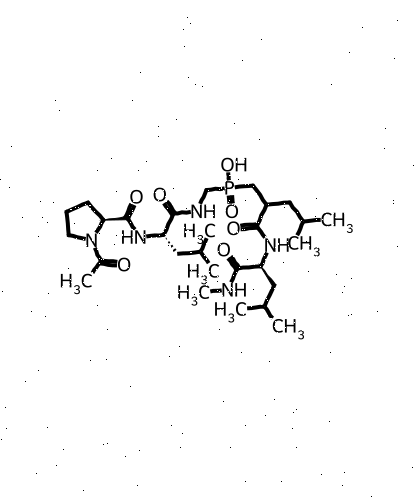 CNC(=O)[C@H](CC(C)C)NC(=O)C(CC(C)C)CP(=O)(O)CNC(=O)[C@H](CC(C)C)NC(=O)[C@@H]1CCCN1C(C)=O